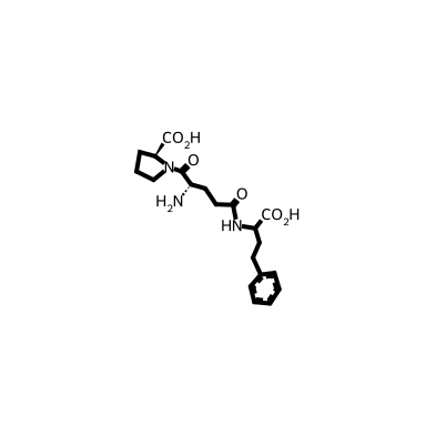 N[C@@H](CCC(=O)NC(CCc1ccccc1)C(=O)O)C(=O)N1CCC[C@H]1C(=O)O